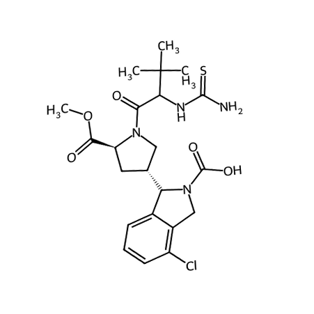 COC(=O)[C@@H]1C[C@@H](C2c3cccc(Cl)c3CN2C(=O)O)CN1C(=O)C(NC(N)=S)C(C)(C)C